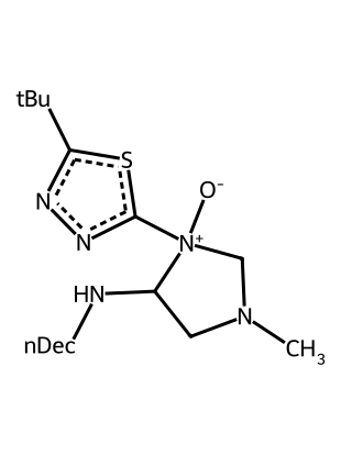 CCCCCCCCCCNC1CN(C)C[N+]1([O-])c1nnc(C(C)(C)C)s1